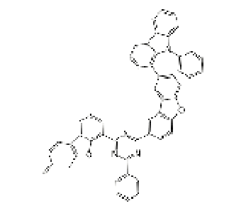 C=C/C=C\c1c(C)oc2c(-c3nc(-c4ccccc4)nc(-c4ccc5oc6ccc(-c7cccc8c9ccccc9n(-c9ccccc9)c78)cc6c5c4)n3)cccc12